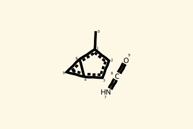 Cc1ccc2cc1-2.N=C=O